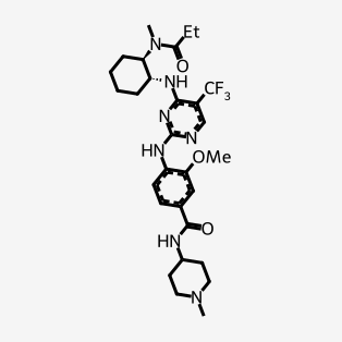 CCC(=O)N(C)[C@@H]1CCCC[C@H]1Nc1nc(Nc2ccc(C(=O)NC3CCN(C)CC3)cc2OC)ncc1C(F)(F)F